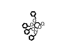 CO[C@H]1C[C@H](OCc2ccccc2)[C@@H](OCc2ccccc2)[C@H](OCc2ccccc2)[C@@H](COCc2ccccc2)O1